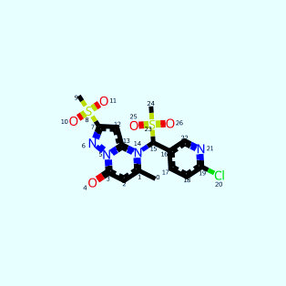 Cc1cc(=O)n2nc(S(C)(=O)=O)cc2n1C(c1ccc(Cl)nc1)S(C)(=O)=O